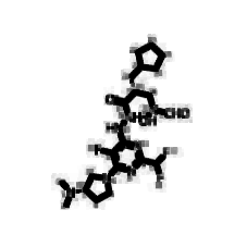 CN(C)[C@H]1CCN(c2nc(C(F)F)nc(NNC(=O)[C@H](CC3CCCC3)CN(O)C=O)c2F)C1